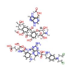 CC(=O)O.CN(Cc1cnc2nc(N)nc(N)c2n1)c1ccc(C(=O)N[C@@H](CCC(=O)O)C(=O)O)cc1.CO[C@@H]1C[C@](C)(O)Cc2cc3c(c(O)c21)C(=O)c1c(O)cc2c(c1C3=O)O[C@@H]1O[C@@]2(C)[C@H](O)[C@@H](N(C)C)[C@@H]1O.N[C@@H](Cc1ccc(N(CCCl)CCCl)cc1)C(=O)O.S=c1nc[nH]c2nc[nH]c12